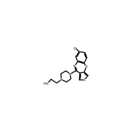 OCCN1CCN(C2=Nc3cc(Cl)ccc3Oc3cscc32)CC1